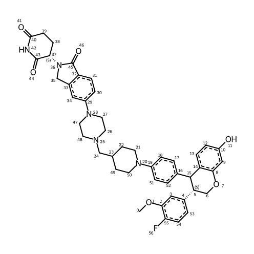 COc1cc([C@H]2COc3cc(O)ccc3C2c2ccc(N3CCC(CN4CCN(c5ccc6c(c5)CN([C@H]5CCC(=O)NC5=O)C6=O)CC4)CC3)cc2)ccc1F